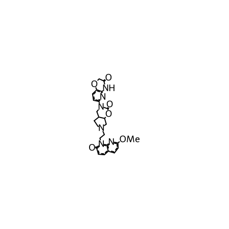 COc1ccc2ccc(=O)n(CCN3CCC4CN(c5ccc6c(n5)NC(=O)CO6)C(=O)OC4C3)c2n1